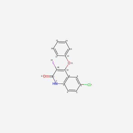 O=c1[nH]c2ccc(Cl)cc2c(Oc2ccccc2)c1I